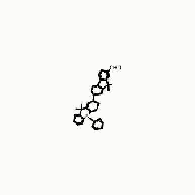 CC1(C)c2cc(C=O)ccc2-c2ccc(-c3ccc4c(c3)C(C)(C)c3ccccc3N4c3ccccc3)cc21